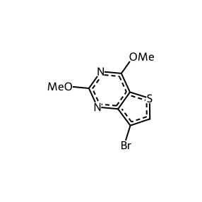 COc1nc(OC)c2scc(Br)c2n1